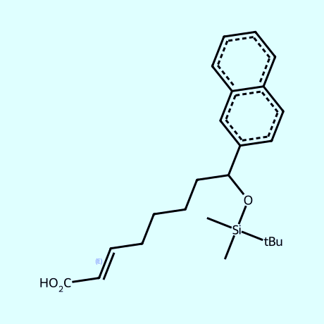 CC(C)(C)[Si](C)(C)OC(CCCC/C=C/C(=O)O)c1ccc2ccccc2c1